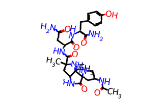 CC(=O)NC1CNC2(C1)C(=O)NC1CC(C)(C(=O)NC(CC(N)=O)C(=O)NC(Cc3ccc(O)cc3)C(N)=O)NC12C